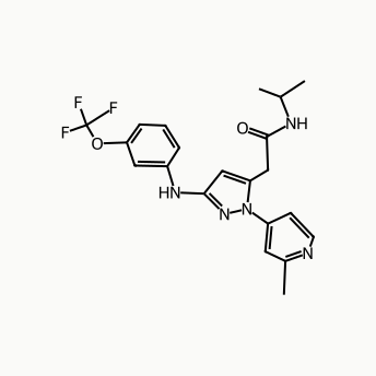 Cc1cc(-n2nc(Nc3cccc(OC(F)(F)F)c3)cc2CC(=O)NC(C)C)ccn1